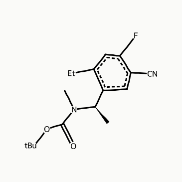 CCc1cc(F)c(C#N)cc1[C@@H](C)N(C)C(=O)OC(C)(C)C